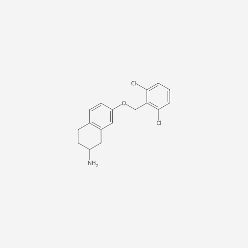 NC1CCc2ccc(OCc3c(Cl)cccc3Cl)cc2C1